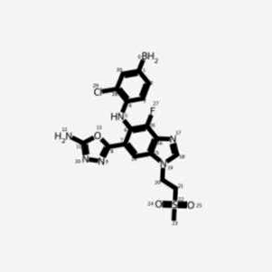 Bc1ccc(Nc2c(-c3nnc(N)o3)cc3c(ncn3CCS(C)(=O)=O)c2F)c(Cl)c1